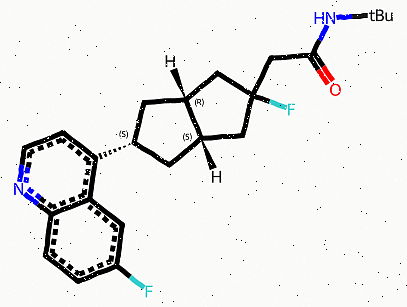 CC(C)(C)NC(=O)CC1(F)C[C@H]2C[C@@H](c3ccnc4ccc(F)cc34)C[C@H]2C1